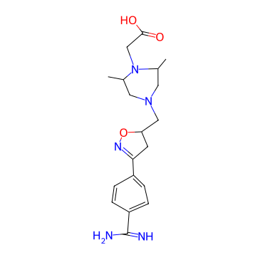 CC1CN(CC2CC(c3ccc(C(=N)N)cc3)=NO2)CC(C)N1CC(=O)O